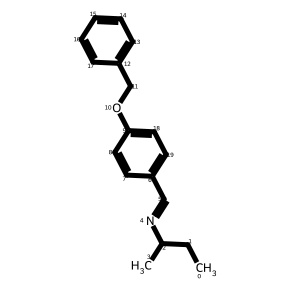 CCC(C)N=Cc1ccc(OCc2ccccc2)cc1